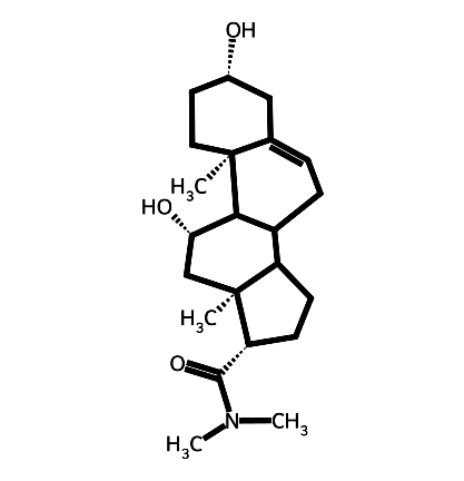 CN(C)C(=O)[C@H]1CCC2C3CC=C4C[C@@H](O)CC[C@]4(C)C3[C@@H](O)C[C@@]21C